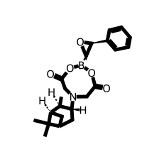 C[C@H]1[C@H](N2CC(=O)OB([C@@H]3O[C@H]3c3ccccc3)OC(=O)C2)CC2C[C@H]1C2(C)C